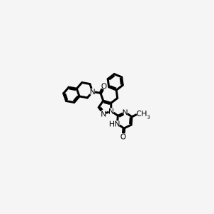 Cc1cc(=O)[nH]c(-n2ncc(C(=O)N3CCc4ccccc4C3)c2Cc2ccccc2)n1